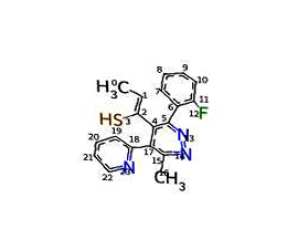 C/C=C(\S)c1c(-c2ccccc2F)nnc(C)c1-c1ccccn1